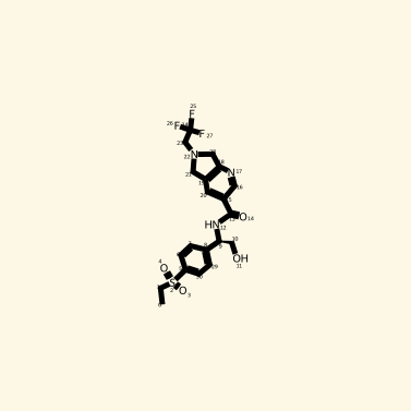 CCS(=O)(=O)c1ccc([C@H](CO)NC(=O)c2cnc3c(c2)CN(CC(F)(F)F)C3)cc1